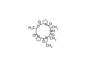 CCCN1C(=O)C2CCCN2C(=O)CC(C)OC(=O)C2CCCN2C(=O)C(C)NC(=O)C1C